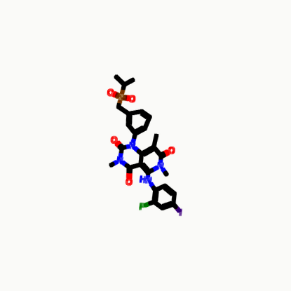 Cc1c(=O)n(C)c(Nc2ccc(I)cc2F)c2c(=O)n(C)c(=O)n(-c3cccc(CS(=O)(=O)C(C)C)c3)c12